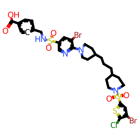 O=C(O)c1ccc(CNS(=O)(=O)c2cnc(N3CCC(CCCC4CCN(S(=O)(=O)c5cc(Br)c(Cl)s5)CC4)CC3)c(Br)c2)cc1